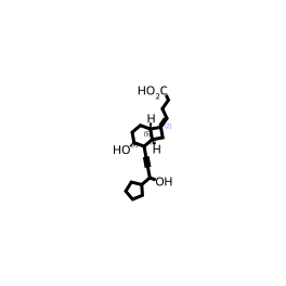 O=C(O)CC/C=C1/C[C@@H]2C(C#CC(O)C3CCCC3)[C@H](O)CC[C@H]12